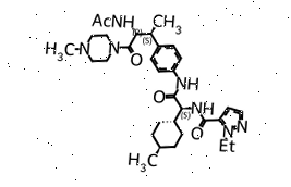 CCn1nccc1C(=O)N[C@H](C(=O)Nc1ccc([C@H](C)[C@@H](NC(C)=O)C(=O)N2CCN(C)CC2)cc1)[C@H]1CC[C@H](C)CC1